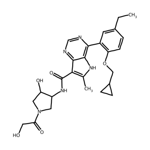 CCc1ccc(OCC2CC2)c(-c2ncnc3c(C(=O)NC4CN(C(=O)CO)CC4O)c(C)[nH]c23)c1